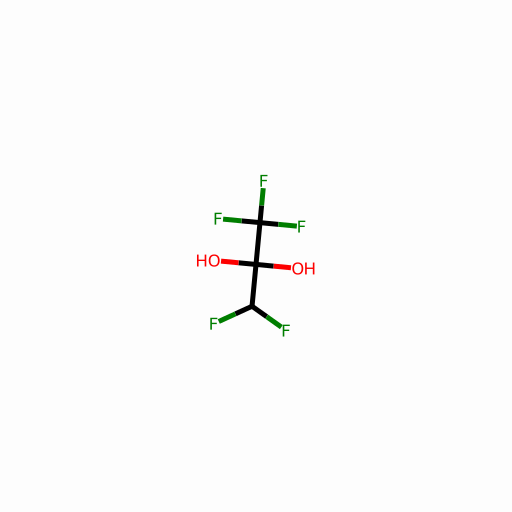 OC(O)(C(F)F)C(F)(F)F